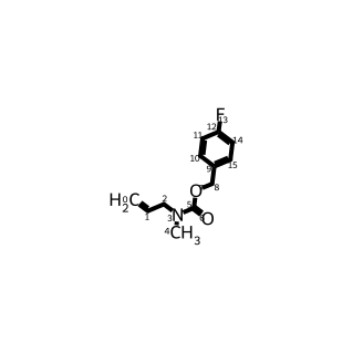 C=CCN(C)C(=O)OCc1ccc(F)cc1